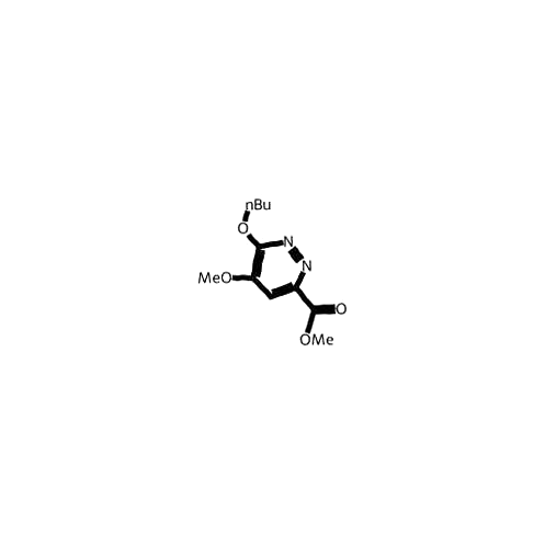 CCCCOc1nnc(C(=O)OC)cc1OC